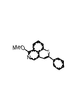 COc1ncc2c3c(cccc13)SC(c1ccccc1)=C2